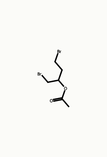 CC(=O)OC(CBr)CCBr